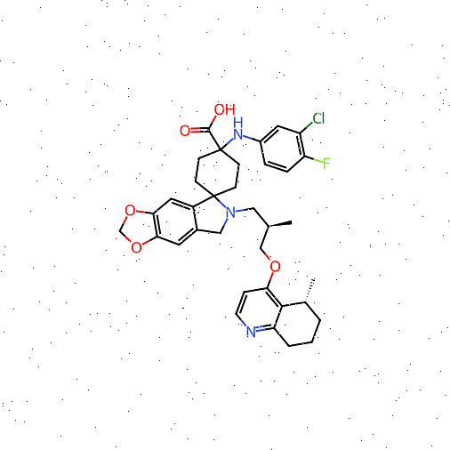 C[C@@H](COc1ccnc2c1[C@H](C)CCC2)CN1Cc2cc3c(cc2C12CCC(Nc1ccc(F)c(Cl)c1)(C(=O)O)CC2)OCO3